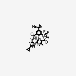 Cc1nc(-n2nc(C3CC3)nc2[C@H](C)NC(=O)c2cc(OC(F)(F)F)cc(C3(C#N)CC3)c2)cnc1C(=O)O